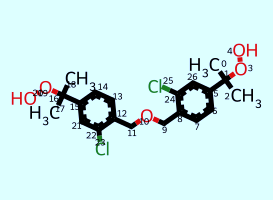 CC(C)(OO)c1ccc(COCc2ccc(C(C)(C)OO)cc2Cl)c(Cl)c1